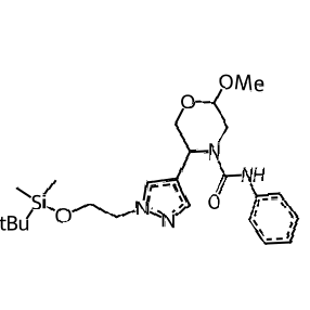 COC1CN(C(=O)Nc2ccccc2)C(c2cnn(CCO[Si](C)(C)C(C)(C)C)c2)CO1